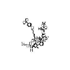 COC(=O)c1ccc(OCCCCCNC(=O)Nc2cc(NC(=O)OCC[Si](C)(C)C)cc(C)c2-c2cccc(S(=O)(=O)c3cc(C=NNC(=O)OC(C)(C)C)sc3SC)c2)cc1